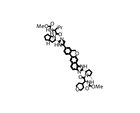 COC(=O)NC(C(=O)N1[C@H](c2ncc(-c3ccc4c(c3)COc3cc5c(ccc6nc([C@@H]7CC[C@H](C)N7C(=O)[C@@H](NC(=O)OC)C7CCOCC7)[nH]c65)cc3-4)[nH]2)C[C@@H]2CCC[C@@H]21)C(C)C